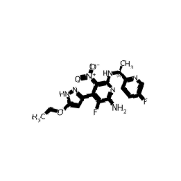 CCOc1cc(-c2c(F)c(N)nc(N[C@@H](C)c3ccc(F)cn3)c2[N+](=O)[O-])n[nH]1